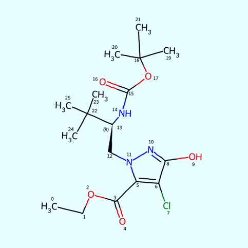 CCOC(=O)c1c(Cl)c(O)nn1C[C@H](NC(=O)OC(C)(C)C)C(C)(C)C